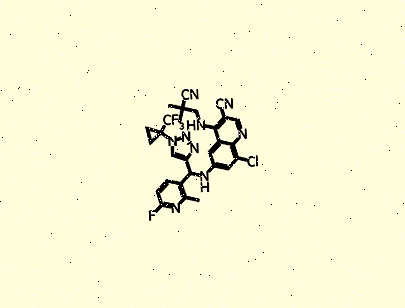 Cc1nc(F)ccc1C(Nc1cc(Cl)c2ncc(C#N)c(NCC(C)(C)C#N)c2c1)c1cn(C2(C(F)(F)F)CC2)nn1